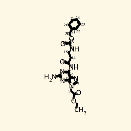 CCOC(=O)Cn1cnc2c(NC(=O)CCNC(=O)OCc3ccccc3)nc(N)nc21